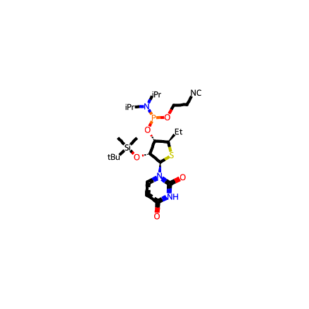 [C-]#[N+]CCOP(O[C@H]1[C@@H](O[Si](C)(C)C(C)(C)C)[C@H](n2ccc(=O)[nH]c2=O)S[C@@H]1CC)N(C(C)C)C(C)C